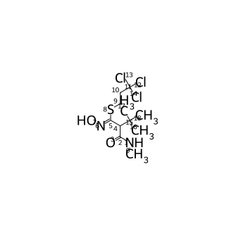 CNC(=O)C(/C(=N/O)SCCC(Cl)(Cl)Cl)C(C)(C)C